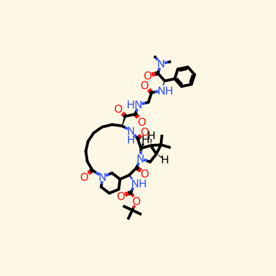 CN(C)C(=O)[C@@H](NC(=O)CNC(=O)C(=O)[C@@H]1CCCCCCC(=O)N2CCCC(C2)[C@H](NC(=O)OC(C)(C)C)C(=O)N2C[C@H]3[C@@H]([C@H]2C(=O)N1)C3(C)C)c1ccccc1